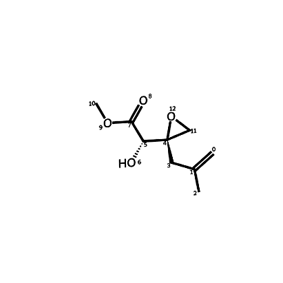 C=C(C)C[C@]1([C@H](O)C(=O)OC)CO1